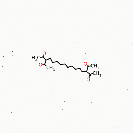 CC(=O)C(CCCCCCCCCCC(C(C)=O)C(C)=O)C(C)=O